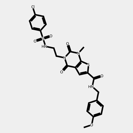 COc1ccc(CNC(=O)c2cc3c(=O)n(CCNS(=O)(=O)c4ccc(Cl)cc4)c(=O)n(C)c3s2)cc1